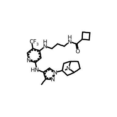 Cc1nn(C2CC3CCC(C2)N3C)cc1Nc1cc(NCCCNC(=O)C2CCC2)c(C(F)(F)F)cn1